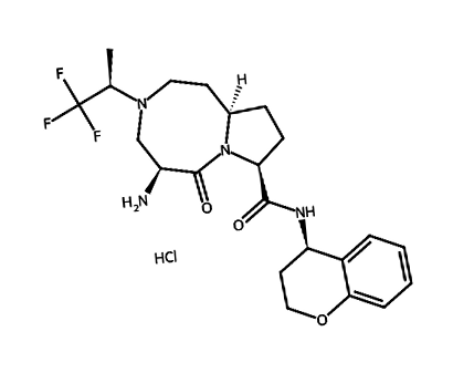 C[C@@H](N1CC[C@H]2CC[C@@H](C(=O)N[C@@H]3CCOc4ccccc43)N2C(=O)[C@@H](N)C1)C(F)(F)F.Cl